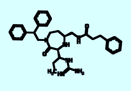 CCC(NC(=N)N)[C@@H]1N[C@H](CNC(=O)CCc2ccccc2)CCN(CC(c2ccccc2)c2ccccc2)C1=O